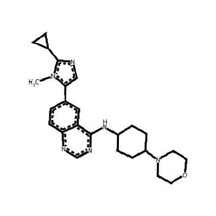 Cn1c(-c2ccc3ncnc(NC4CCC(N5CCOCC5)CC4)c3c2)cnc1C1CC1